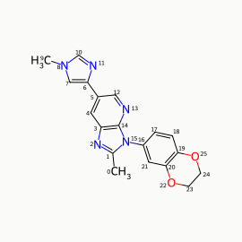 Cc1nc2cc(-c3cn(C)cn3)cnc2n1-c1ccc2c(c1)OCCO2